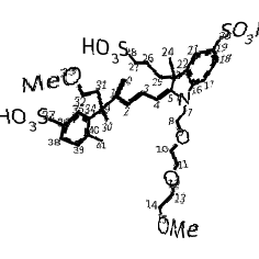 C=C(/C=C/C=C1/N(CCOCCOCCOC)c2ccc(S(=O)(=O)O)cc2C1(C)CCCS(=O)(=O)O)C(C)(CCOC)c1cc(S(=O)(=O)O)ccc1C